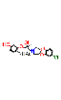 CC(=O)Nc1ccc(O)cc1OC[C@@](C)(O)CN1CCC2(CC1)Oc1ccc(Cl)cc1O2